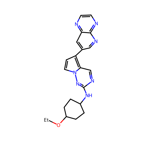 CCOC1CCC(Nc2ncc3c(-c4cnc5nccnc5c4)ccn3n2)CC1